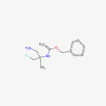 C=C(NC(C)(CN)CF)OCc1ccccc1